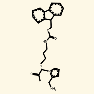 CC(=O)[C@H](CCCCNC(=O)OCC1c2ccccc2-c2ccccc21)n1cccc1CN